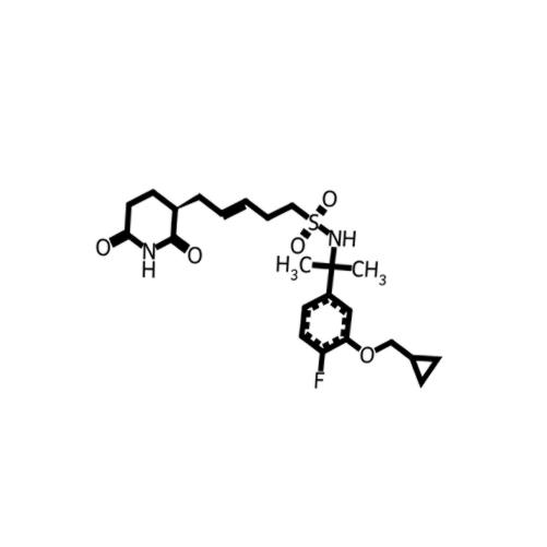 CC(C)(NS(=O)(=O)CC/C=C/C[C@@H]1CCC(=O)NC1=O)c1ccc(F)c(OCC2CC2)c1